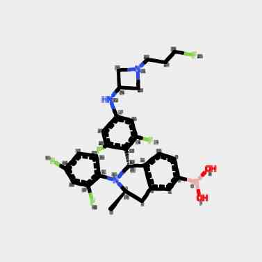 C[C@@H]1Cc2cc(B(O)O)ccc2[C@@H](c2c(F)cc(NC3CN(CCCF)C3)cc2F)N1c1ccc(F)cc1F